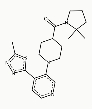 Cc1nnc(-c2ccncc2N2CCC(C(=O)N3CCCC3(C)C)CC2)s1